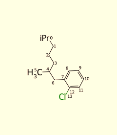 CC(C)C[CH]CC(C)Cc1ccccc1Cl